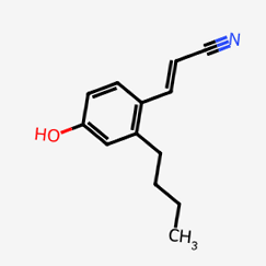 CCCCc1cc(O)ccc1C=CC#N